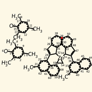 Cc1cc(C)c([O-])c(C)c1.Cc1cc(C)c([O-])c(C)c1.Cc1cc(C2=Cc3ccccc3[CH]2[Zr+2]2([CH]3C(c4cc(C)cc5ccccc45)=Cc4ccccc43)[CH2][CH2]2)c2ccccc2c1